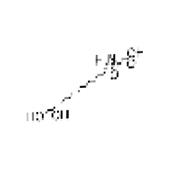 N[C@@H](CCC(=O)O)C(=O)CCCCCCCCCCCCCC(O)CCO